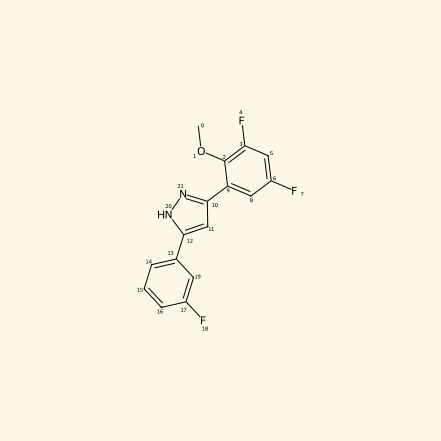 COc1c(F)cc(F)cc1-c1cc(-c2cccc(F)c2)[nH]n1